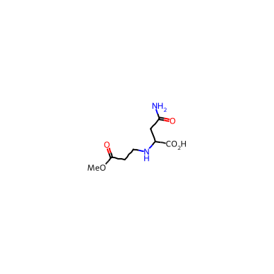 COC(=O)CCNC(CC(N)=O)C(=O)O